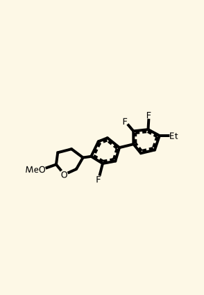 CCc1ccc(-c2ccc(C3CCC(OC)OC3)c(F)c2)c(F)c1F